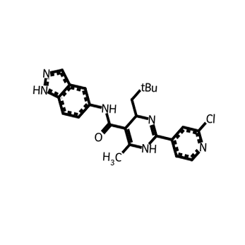 CC1=C(C(=O)Nc2ccc3[nH]ncc3c2)C(CC(C)(C)C)N=C(c2ccnc(Cl)c2)N1